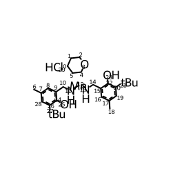 C1CCOCC1.Cc1cc(C[NH][Mn][NH]Cc2cc(C)cc(C(C)(C)C)c2O)c(O)c(C(C)(C)C)c1.Cl